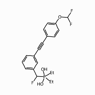 CCP(O)(O)(CC)C(F)c1cccc(C#Cc2ccc(OC(F)F)cc2)c1